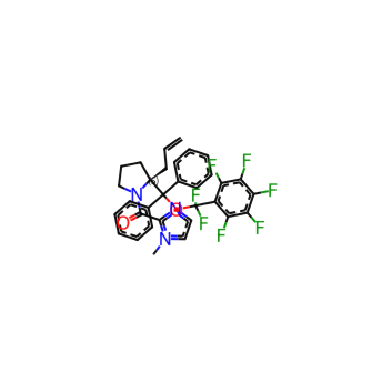 C=CC[C@]1(C(OC(F)(F)c2c(F)c(F)c(F)c(F)c2F)(c2ccccc2)c2ccccc2)CCCN1C(=O)c1nccn1C